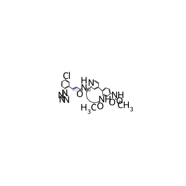 COC(=O)Nc1ccc2c(c1)NC(=O)C(C)CCC[C@H](NC(=O)/C=C/c1cc(Cl)ccc1-n1cnnn1)c1cc-2ccn1